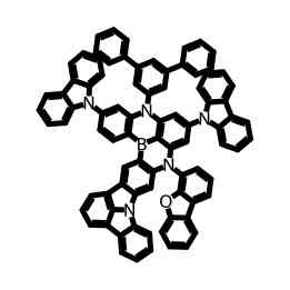 c1ccc(-c2cc(-c3ccccc3)cc(N3c4cc(-n5c6ccccc6c6ccccc65)ccc4B4c5cc6c7cccc8c9ccccc9n(c6cc5N(c5cccc6c5oc5ccccc56)c5cc(-n6c9ccccc9c9ccccc96)cc3c54)c87)c2)cc1